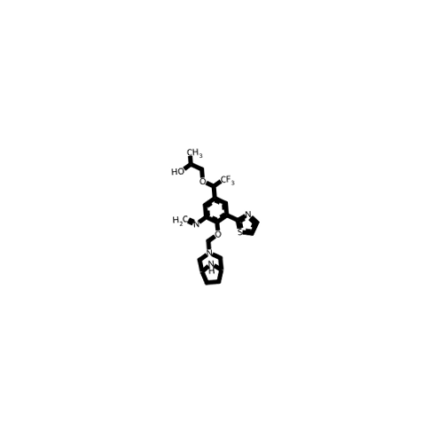 C=Nc1cc(C(OCC(C)O)C(F)(F)F)cc(-c2nccs2)c1OCN1CC2CCC(C1)N2